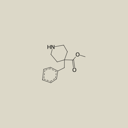 COC(=O)C1(Cc2ccccc2)CCNCC1